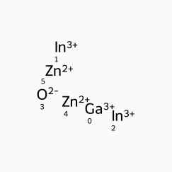 [Ga+3].[In+3].[In+3].[O-2].[Zn+2].[Zn+2]